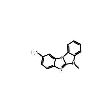 Cn1c2ccccc2n2c3cc(N)ccc3nc12